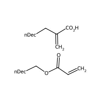 C=C(CCCCCCCCCCC)C(=O)O.C=CC(=O)OCCCCCCCCCCC